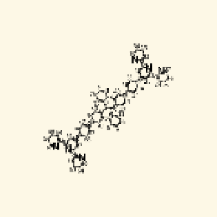 c1ccc(/C(=C(/c2ccccc2)c2ccc(-c3ccc(-c4cc(-c5ccccn5)nc(-c5ccccn5)c4)cc3)cc2)c2ccc(-c3ccc(-c4cc(-c5ccccn5)nc(-c5ccccn5)c4)cc3)cc2)cc1